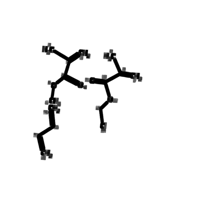 C=C(C)C(=O)OC.C=C(C)C(=O)OCCl.C=CC=C